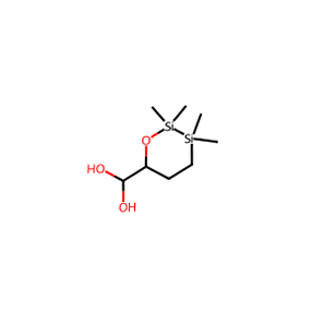 C[Si]1(C)CCC(C(O)O)O[Si]1(C)C